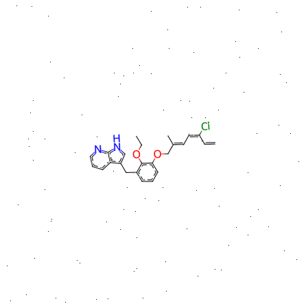 C=C/C(Cl)=C\C=C(/C)COc1cccc(Cc2c[nH]c3ncccc23)c1OCC